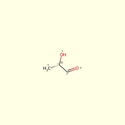 C[C@H](O)[C]=O